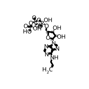 C=CCNc1ncnc2c1ncn2[C@@H]1O[C@H](COP(=O)(O)OP(=O)(O)OP(=O)(O)O)[C@H](O)[C@@H]1O